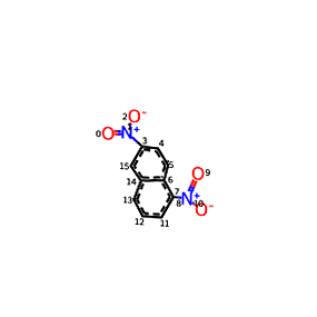 O=[N+]([O-])c1c[c]c2c([N+](=O)[O-])cccc2c1